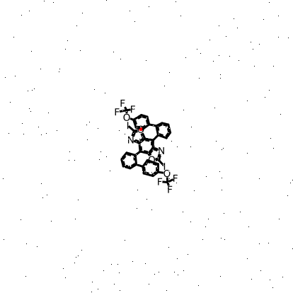 FC(F)(F)Oc1ccc(-c2ccccc2-c2c3nc(I)oc3c(-c3ccccc3-c3ccc(OC(F)(F)F)cc3)c3nc(I)oc23)cc1